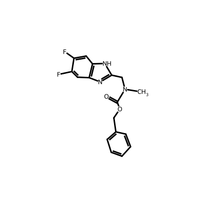 CN(Cc1nc2cc(F)c(F)cc2[nH]1)C(=O)OCc1ccccc1